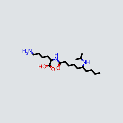 CCCCC(CCCCC(=O)NC(CCCCN)C(=O)O)NC(C)C